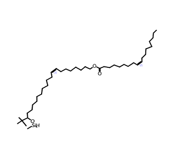 CCCCCCCC/C=C\CCCCCCCC(=O)OCCCCCCC/C=C\CCCCCCCCCCC(O[SiH](C)C)C(C)(C)C